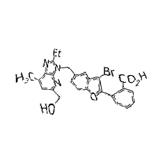 CCc1nc2c(C)cc(CO)nc2n1Cc1ccc2oc(-c3ccccc3C(=O)O)c(Br)c2c1